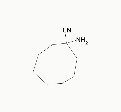 N#CC1(N)CCCCCCC1